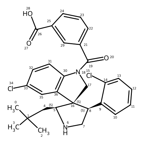 CC(C)(C)C[C@@H]1NC[C@H](c2ccccc2Cl)[C@]12CN(C(=O)c1cccc(C(=O)O)c1)c1ccc(Cl)cc12